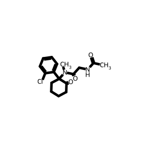 CC(=O)NCC(=O)N(C)C1(c2ccccc2Cl)CCCCC1=O